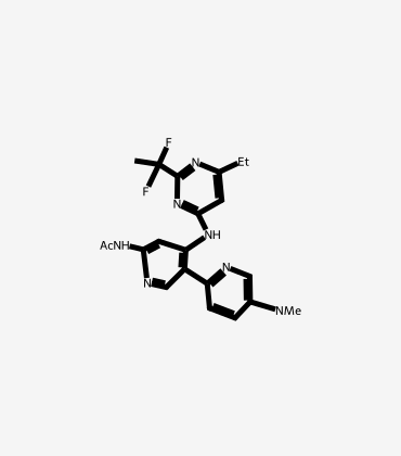 CCc1cc(Nc2cc(NC(C)=O)ncc2-c2ccc(NC)cn2)nc(C(C)(F)F)n1